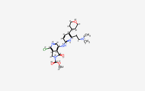 CN(C)CCc1nc(Nc2cnc(Cl)c3c2C(=O)N(C(=O)OC(C)(C)C)C3)ccc1C1CCOCC1